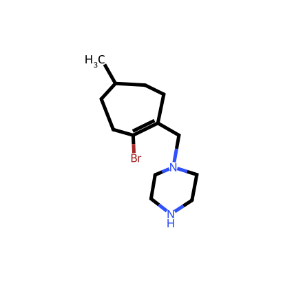 CC1CCC(Br)=C(CN2CCNCC2)CC1